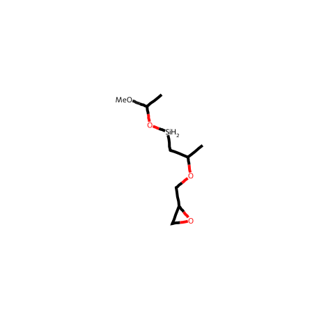 COC(C)O[SiH2]CC(C)OCC1CO1